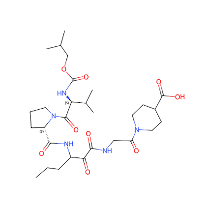 CCCC(NC(=O)[C@@H]1CCCN1C(=O)[C@@H](NC(=O)OCC(C)C)C(C)C)C(=O)C(=O)NCC(=O)N1CCC(C(=O)O)CC1